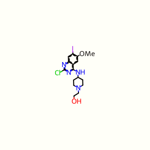 COc1cc2c(NC3CCN(CCO)CC3)nc(Cl)nc2cc1I